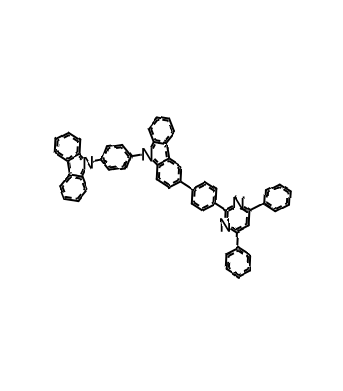 c1ccc(-c2cc(-c3ccccc3)nc(-c3ccc(-c4ccc5c(c4)c4ccccc4n5-c4ccc(-n5c6ccccc6c6ccccc65)cc4)cc3)n2)cc1